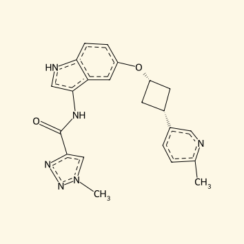 Cc1ccc([C@H]2C[C@@H](Oc3ccc4[nH]cc(NC(=O)c5cn(C)nn5)c4c3)C2)cn1